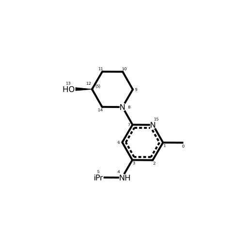 Cc1cc(NC(C)C)cc(N2CCC[C@H](O)C2)n1